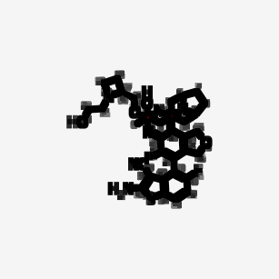 CC(O)CN1CC2CCC(C1)N2c1nc(OC[C@@H]2CCN2CCO)nc2c(F)c(-c3c(F)ccc4sc(N)c(C#N)c34)c3c(c12)COC3